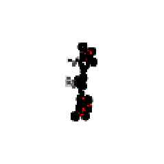 C=C1\C=C/C(/C=C/c2ccc3c(c2)C(C)(C)c2cc(/C=C/c4ccc5c(c4)C4(c6ccccc6-c6ccccc64)c4cc(N(c6ccccc6)c6ccccc6)ccc4-5)ccc2-3)=C\CC2(c3cc(N(c4ccccc4)c4ccccc4)ccc31)c1ccccc1-c1ccccc12